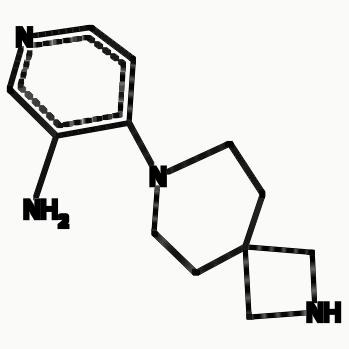 Nc1cnccc1N1CCC2(CC1)CNC2